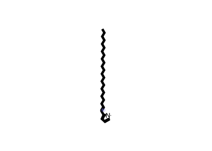 CCCCCCCCCCCCCCCCCCCCC/C=C/C1=CC=C[N]1